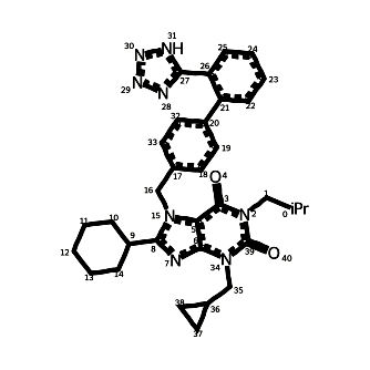 CC(C)Cn1c(=O)c2c(nc(C3CCCCC3)n2Cc2ccc(-c3ccccc3-c3nnn[nH]3)cc2)n(CC2CC2)c1=O